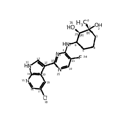 C[C@@]1(O)CCCC(Nc2nc(-c3c[nH]c4ncc(Cl)cc34)ncc2F)[C@H]1O